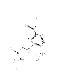 COC(=O)c1ccc([N+](=O)[O-])c(OCC(C)C(=O)OC)c1